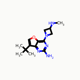 CNC1CN(c2nc(N)nc3c(C(C)(C)C)coc23)C1